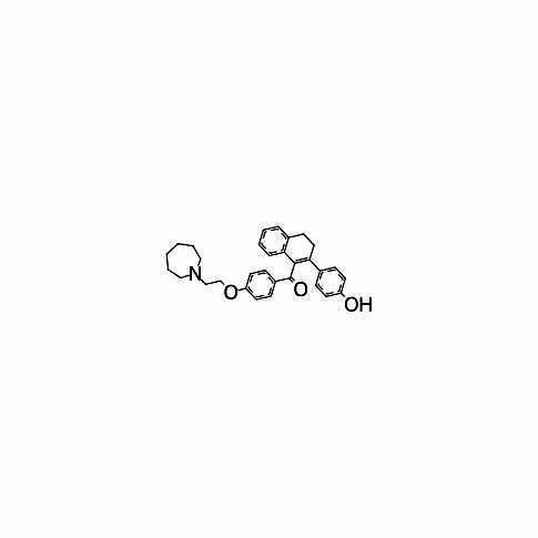 O=C(C1=C(c2ccc(O)cc2)CCc2ccccc21)c1ccc(OCCN2CCCCCC2)cc1